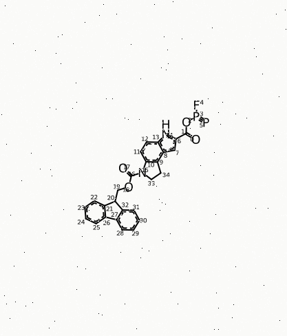 O=C(OP(F)#P)c1cc2c3c(ccc2[nH]1)N(C(=O)OCC1c2ccccc2-c2ccccc21)CC3